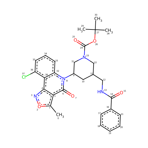 Cc1onc2c1c(=O)n(C1CC(CNC(=O)c3ccccc3)CN(C(=O)OC(C)(C)C)C1)c1cccc(Cl)c21